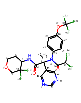 C[C@@](C(=O)NC1CCOCC1(F)F)(c1cncnc1)N(C(=O)[C@H](F)Cl)c1ccc(OC(F)(F)F)cc1